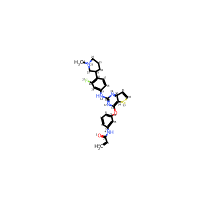 C=CC(=O)Nc1cccc(Oc2nc(Nc3ccc(C4CCCN(C)C4)c(F)c3)nc3ccsc23)c1